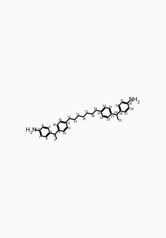 CC(c1ccc(N)cc1)c1ccc(CCCCCCCc2ccc(C(C)c3ccc(N)cc3)cc2)cc1